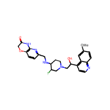 COc1ccc2nccc(C(O)CN3CCC(NCc4ccc5c(n4)NC(=O)CO5)C(F)C3)c2c1